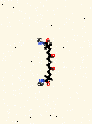 [C-]#[N+]NC(=O)C(C)(C)CCC(=O)CCCC(=O)CCC(C)(C)C(=O)NC#N